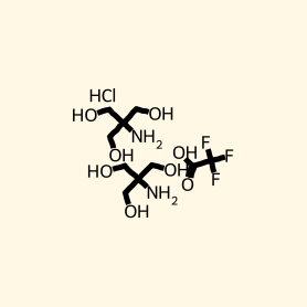 Cl.NC(CO)(CO)CO.NC(CO)(CO)CO.O=C(O)C(F)(F)F